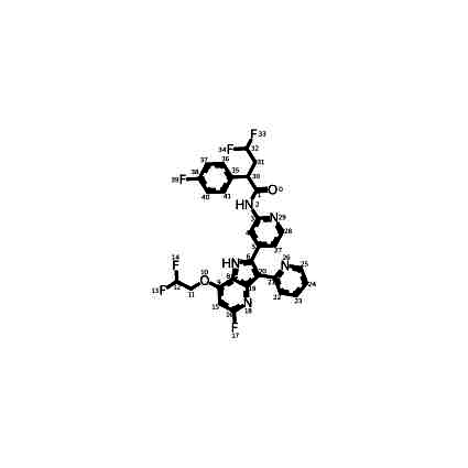 O=C(Nc1cc(-c2[nH]c3c(OCC(F)F)cc(F)nc3c2-c2ccccn2)ccn1)C(CC(F)F)c1ccc(F)cc1